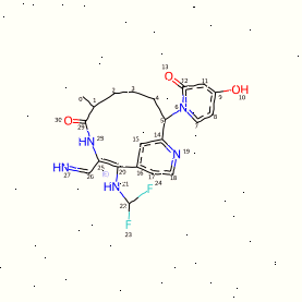 CC1CCCC(n2ccc(O)cc2=O)c2cc(ccn2)/C(NC(F)F)=C(/C=N)NC1=O